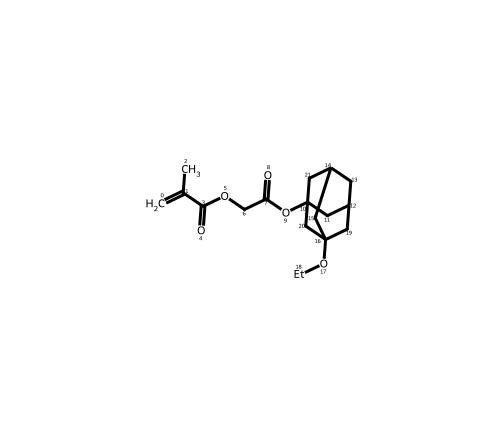 C=C(C)C(=O)OCC(=O)OC12CC3CC(CC(OCC)(C3)C1)C2